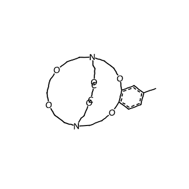 Cc1ccc2c(c1)OCCN1CCOCCOCCN(CCOCCOCC1)CCO2